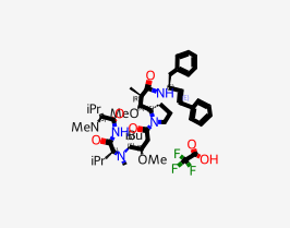 CC[C@H](C)[C@@H]([C@@H](CC(=O)N1CCC[C@H]1[C@H](OC)[C@@H](C)C(=O)N[C@H](/C=C/c1ccccc1)Cc1ccccc1)OC)N(C)[C@H](C(=O)NC(=O)[C@@H](NC)C(C)C)C(C)C.O=C(O)C(F)(F)F